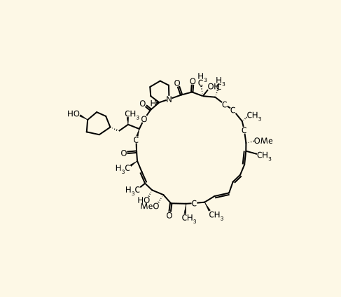 CO[C@H]1C[C@@H](C)CC[C@@H](C)[C@](C)(O)C(=O)C(=O)N2CCCC[C@H]2C(=O)O[C@H]([C@H](C)C[C@H]2CC[C@H](O)CC2)CC(=O)[C@H](C)/C=C(\C)[C@@H](O)[C@@H](OC)C(=O)[C@H](C)C[C@H](C)/C=C/C=C/C=C/1C